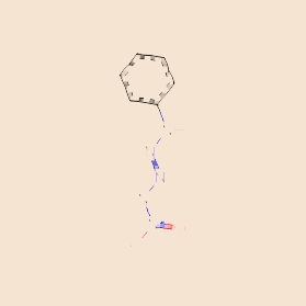 O=[N+]([O-])[N-]N=NNc1ccccc1